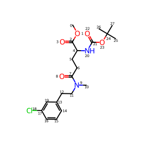 COC(=O)C(CCC(=O)N(C)CCc1cccc(Cl)c1)NC(=O)OC(C)(C)C